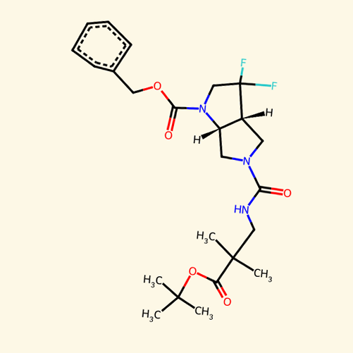 CC(C)(C)OC(=O)C(C)(C)CNC(=O)N1C[C@@H]2[C@H](C1)N(C(=O)OCc1ccccc1)CC2(F)F